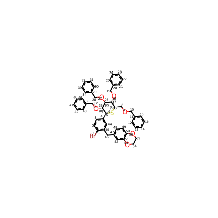 Brc1ccc([C@@H]2S[C@H](COCc3ccccc3)[C@@H](OCc3ccccc3)[C@H](OCc3ccccc3)[C@H]2OCc2ccccc2)cc1Cc1ccc2c(c1)OCCO2